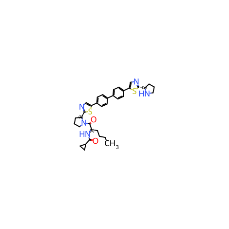 CCCC[C@@H](NC(=O)C1CC1)C(=O)N1CCC[C@H]1c1ncc(-c2ccc(-c3ccc(-c4cnc([C@@H]5CCCN5)s4)cc3)cc2)s1